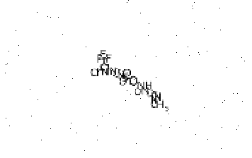 Cn1ncc2c1CN(C(=O)Nc1ccc(S(=O)(=O)N3CCN(c4cc(C(F)(F)F)cc(Cl)n4)CC3)cc1)C2